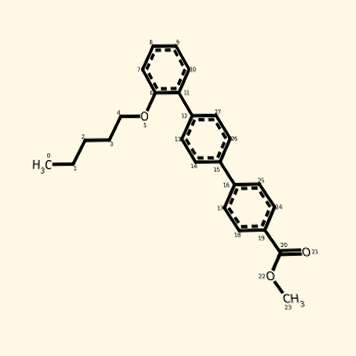 CCCCCOc1ccccc1-c1ccc(-c2ccc(C(=O)OC)cc2)cc1